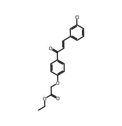 CCOC(=O)COc1ccc(C(=O)/C=C/c2cccc(Cl)c2)cc1